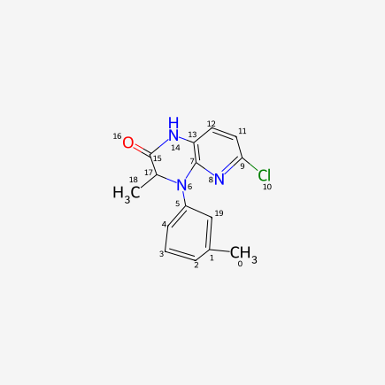 Cc1cccc(N2c3nc(Cl)ccc3NC(=O)C2C)c1